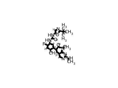 CNc1ncc2cc(-c3cc(NC(=O)Nc4cnc(C(C)(C)C)o4)c(F)cc3C)c(=O)n(C)c2n1